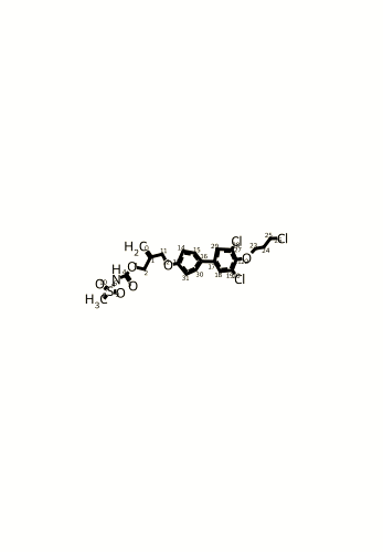 C=C(COC(=O)NS(C)(=O)=O)COc1ccc(-c2cc(Cl)c(OCCCCl)c(Cl)c2)cc1